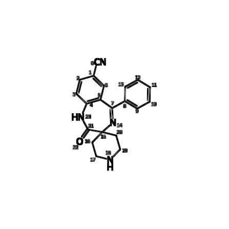 N#Cc1ccc2c(c1)C(c1ccccc1)=NC1(CCNCC1)C(=O)N2